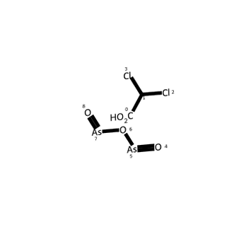 O=C(O)C(Cl)Cl.O=[As]O[As]=O